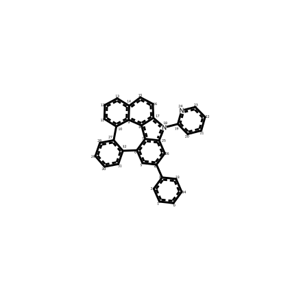 c1ccc(-c2cc3c4c5c6c(cccc6ccc5n(-c5ccccn5)c4c2)-c2ccccc2-3)cc1